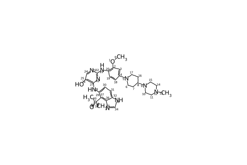 COc1cc(N2CCC(N3CCN(C)CC3)CC2)ccc1Nc1ncc(O)c(Nc2ccc3[nH]cnc3c2P(C)(C)=O)n1